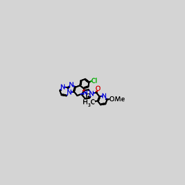 COc1ccc(C)c(C(=O)N2CC3CCC2CN3Cc2c(-c3ccc(Cl)cc3)nc3ncccn23)n1